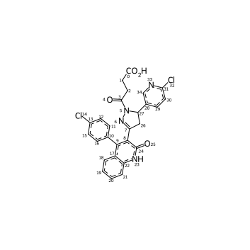 O=C(O)CCC(=O)N1N=C(c2c(-c3ccc(Cl)cc3)c3ccccc3[nH]c2=O)CC1c1ccc(Cl)nc1